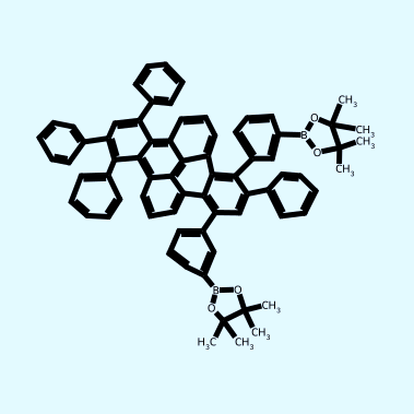 CC1(C)OB(c2cccc(-c3cc(-c4ccccc4)c(-c4cccc(B5OC(C)(C)C(C)(C)O5)c4)c4c5cccc6c7c(-c8ccccc8)cc(-c8ccccc8)c(-c8ccccc8)c7c7cccc(c34)c7c65)c2)OC1(C)C